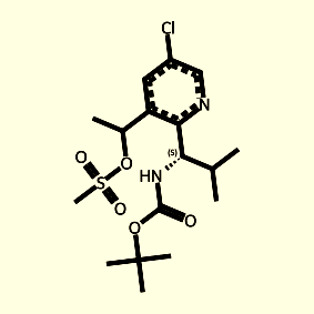 CC(OS(C)(=O)=O)c1cc(Cl)cnc1[C@@H](NC(=O)OC(C)(C)C)C(C)C